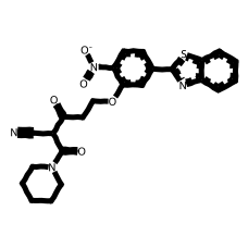 N#CC(C(=O)CCOc1cc(-c2nc3ccccc3s2)ccc1[N+](=O)[O-])C(=O)N1CCCCC1